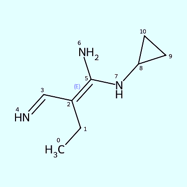 CC/C(C=N)=C(/N)NC1CC1